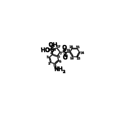 Nc1ccc2c(c1)C(S(=O)(=O)c1ccccc1)CS2(O)O